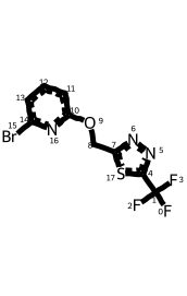 FC(F)(F)c1nnc(COc2cccc(Br)n2)s1